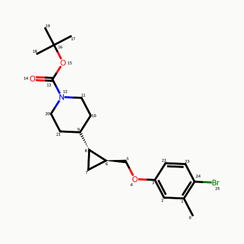 Cc1cc(OC[C@H]2C[C@@H]2C2CCN(C(=O)OC(C)(C)C)CC2)ccc1Br